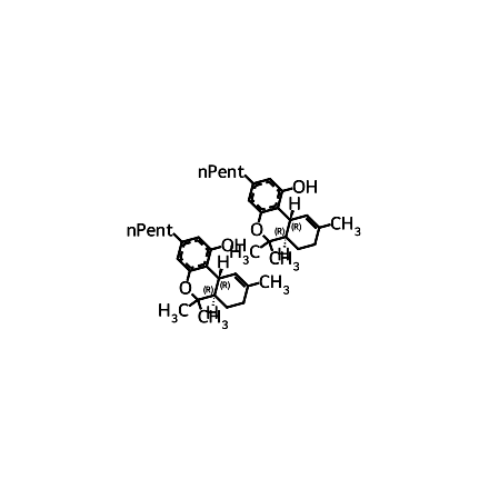 CCCCCc1cc(O)c2c(c1)OC(C)(C)[C@@H]1CCC(C)=C[C@@H]21.CCCCCc1cc(O)c2c(c1)OC(C)(C)[C@@H]1CCC(C)=C[C@@H]21